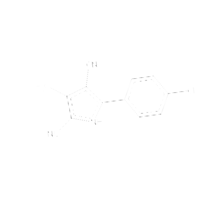 N#Cc1[nH]c(-c2ccc(Cl)cc2)c(C#N)c1C(F)(F)F